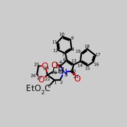 CCOC(=O)C(CN1C(=O)C(c2ccccc2)=C(c2ccccc2)C1=O)C1(C)OCCO1